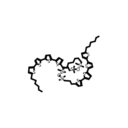 CCCCCCc1ccc(-c2ccc(-c3ccc(-c4ccc(CCC[Si](C)(C)O[Si](C)(C)CCCCCCC[Si](C)(C)O[Si](C)(C)CCCc5ccc(-c6ccc(-c7ccc(-c8ccc(CCCCCC)s8)s7)s6)s5)s4)s3)s2)s1